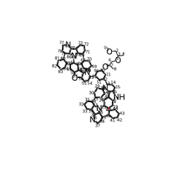 COCC(C)OCC(C)Oc1cc(-c2ccc3[nH]c4ccc(-n5c6c(-c7ccccc7)cccc6c6nccc(-c7ccccc7)c65)cc4c3n2)cc(-c2ccc3oc4ccc(-n5c6c(-c7ccccc7)cccc6c6nccc(-c7ccccc7)c65)cc4c3n2)c1